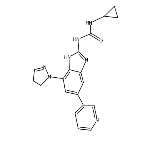 O=C(Nc1nc2cc(-c3cccnc3)cc(N3CCC=N3)c2[nH]1)NC1CC1